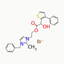 Cc1n(CCOC(=O)C(O)c2sccc2-c2ccccc2)cc[n+]1Cc1ccccc1.[Br-]